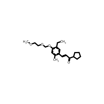 CCc1cc(/C=C/C(=O)C2CCCC2)c(C)cc1OCOCCOC